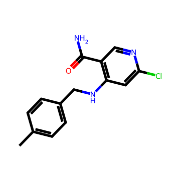 Cc1ccc(CNc2cc(Cl)ncc2C(N)=O)cc1